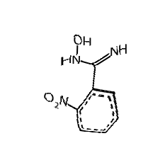 N=C(NO)c1ccccc1[N+](=O)[O-]